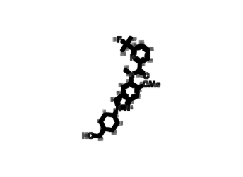 COc1cc2nn(C3CCC(CO)CC3)cc2cc1N(C)C(=O)c1cccc(C(C)(C)F)n1